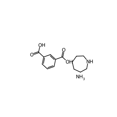 C1CCCNCC1.N.O=C(O)c1cccc(C(=O)O)c1